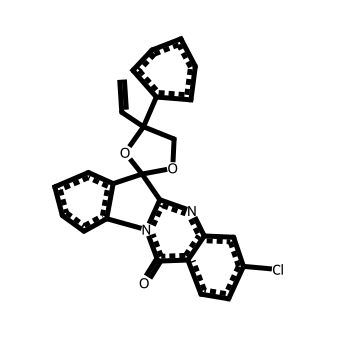 C=CC1(c2ccccc2)COC2(O1)c1ccccc1-n1c2nc2cc(Cl)ccc2c1=O